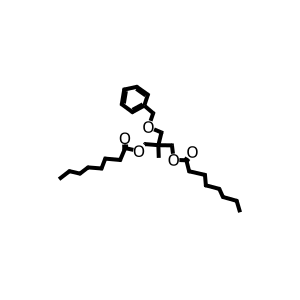 CCCCCCCC(=O)OCC(C)(COCc1ccccc1)COC(=O)CCCCCCC